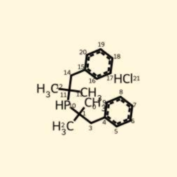 CC(C)(Cc1ccccc1)PC(C)(C)Cc1ccccc1.Cl